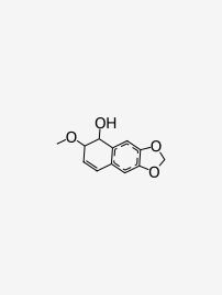 COC1C=Cc2cc3c(cc2C1O)OCO3